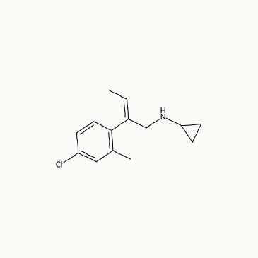 C/C=C(/CNC1CC1)c1ccc(Cl)cc1C